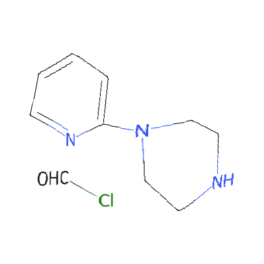 O=CCl.c1ccc(N2CCNCC2)nc1